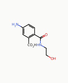 Nc1ccc(C(=O)NCCO)c(C(=O)O)c1